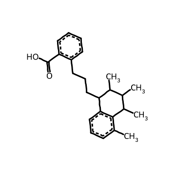 Cc1cccc2c1C(C)C(C)C(C)C2CCCc1ccccc1C(=O)O